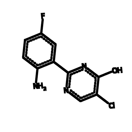 Nc1ccc(F)cc1-c1ncc(Cl)c(O)n1